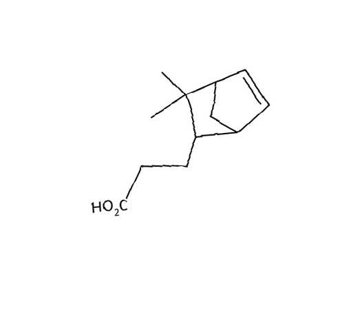 CC1(C)C2C=CC(C2)C1CCC(=O)O